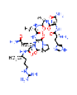 CC(C)[C@H](NC(=O)[C@H](CC(N)=O)NC(=O)[C@@H](N)Cc1c[nH]cn1)C(=O)N[C@@H](C)C(=O)N[C@@H](CC(=O)O)C(=O)N1CCC[C@H]1C(=O)N[C@@H](CCC(N)=O)C(=O)N[C@@H](CCCNC(=N)N)C(=O)O